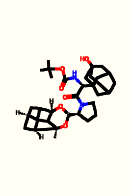 CC(C)(C)OC(=O)N[C@H](C(=O)N1CCC[C@H]1B1O[C@@H]2C3C[C@@H]4C[C@H]5C34C2[C@@]5(C)O1)C12CC3CC(CC(O)(C3)C1)C2